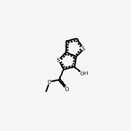 COC(=O)c1sc2ccsc2c1O